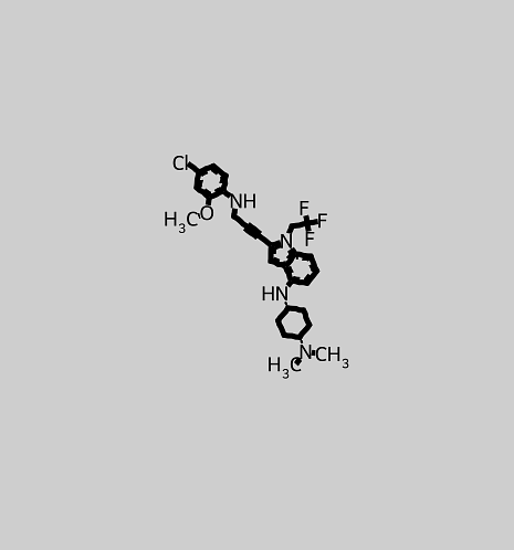 COc1cc(Cl)ccc1NCC#Cc1cc2c(N[C@H]3CC[C@@H](N(C)C)CC3)cccc2n1CC(F)(F)F